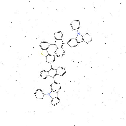 C1=Cc2c(n(-c3ccccc3)c3cc(-c4c5ccccc5c(-c5cccc6sc7cc(-c8c9ccccc9c(-c9ccc%10c%11ccccc%11n(-c%11ccccc%11)c%10c9)c9ccccc89)ccc7c56)c5ccccc45)ccc23)CC1